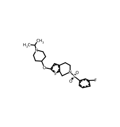 CC(C)N1CCC(Oc2cc3c(s2)CN(S(=O)(=O)c2cccc(F)c2)CC3)CC1